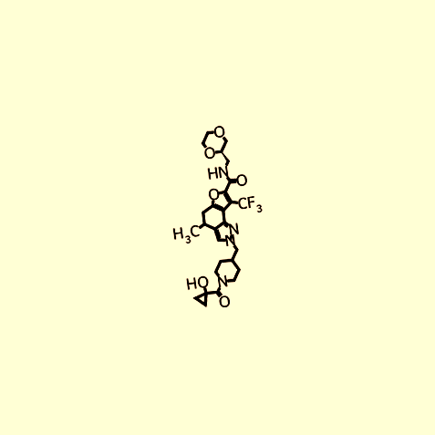 CC1Cc2oc(C(=O)NC[C@@H]3COCCO3)c(C(F)(F)F)c2-c2nn(CC3CCN(C(=O)C4(O)CC4)CC3)cc21